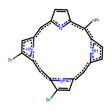 CCCc1c2nc(cc3cc(Br)c(cc4nc(cc5ccc1[nH]5)C=C4Br)[nH]3)C=C2